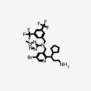 Cn1nnc(N(Cc2cc(C(F)(F)F)cc(C(F)(F)F)c2)Cc2cc(Br)cnc2C(CCN)C2CCCC2)n1